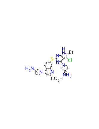 CCc1[nH]c2nc(Sc3ccc4c(N5CC[C@@H](N)C5)cc(C(=O)O)nc4c3)nc(N3CC[C@@H](N)C3)c2c1Cl